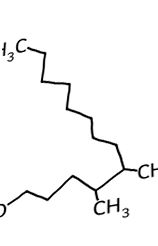 CCCCCCCCC(C)C(C)CCC[O]